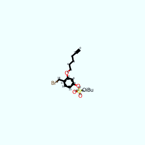 C#CCCCCOc1cc(OS(=O)(=O)OCC(C)C)ccc1CBr